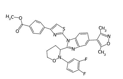 COC(=O)c1ccc(-c2csc(-n3c(C4CCCON4c4ccc(F)c(F)c4)nc4cc(-c5c(C)noc5C)ccc43)n2)cc1